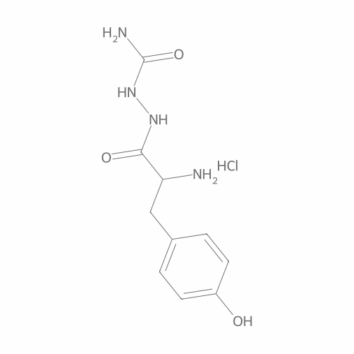 Cl.NC(=O)NNC(=O)C(N)Cc1ccc(O)cc1